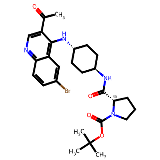 CC(=O)c1cnc2ccc(Br)cc2c1N[C@H]1CC[C@H](NC(=O)[C@@H]2CCCN2C(=O)OC(C)(C)C)CC1